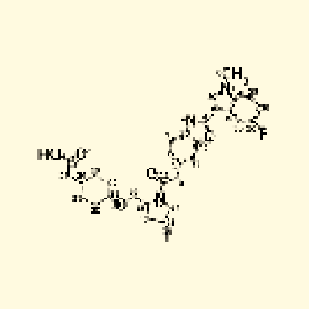 Cn1cc(-c2nc3ccc(CC(=O)N4C[C@@H](F)C[C@H]4COC4CCC(CC(=O)O)CC4)cc3o2)c2cc(F)ccc21